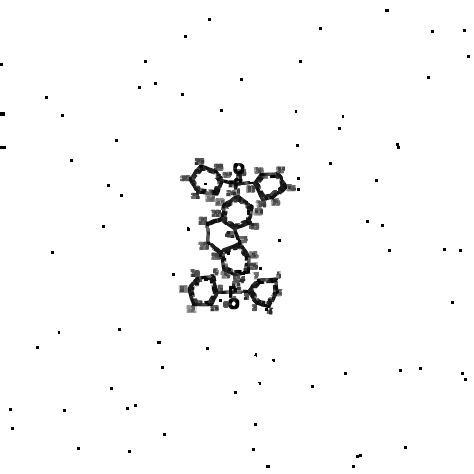 O=P(c1ccccc1)(c1ccccc1)c1ccc2c(c1)CCc1cc(P(=O)(c3ccccc3)c3ccccc3)ccc1-2